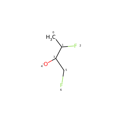 CC(F)C([O])CF